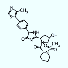 Cc1ncsc1-c1ccc(C2NC([C@H]3C[C@@H](O)CN3C(=O)[C@@H]3CCCCN3S(C)(=O)=O)=NC2=O)cc1